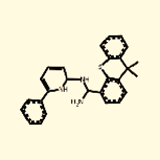 CC1(C)c2ccccc2Sc2c(C(N)NC3C=CC=C(c4ccccc4)N3)cccc21